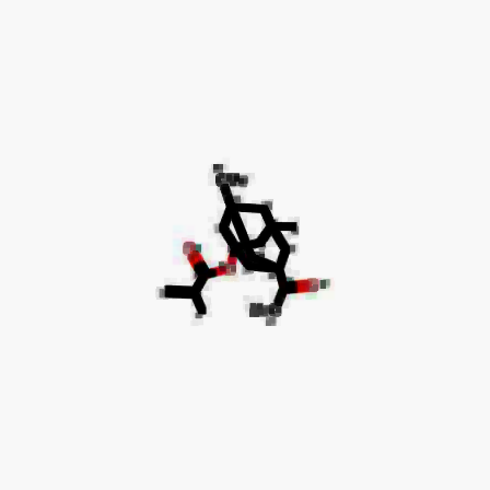 C=C(C)C(=O)OC12CC3(C)CC(OC)(C1)CC(C(=O)OC)(C3)C2